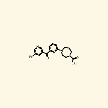 CC(C)(C)C(=O)N1CCCN(c2cccc(C(=O)c3cncc(Br)c3)n2)CC1